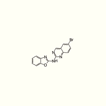 Brc1ccc2nc(Nc3nc4ccccc4o3)ncc2c1